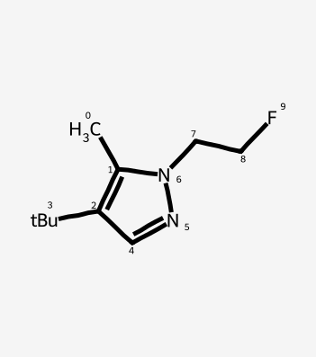 Cc1c(C(C)(C)C)cnn1CCF